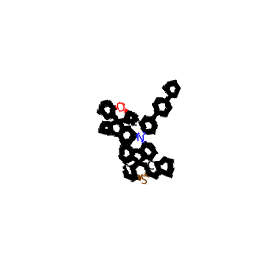 c1ccc(-c2ccc(-c3ccc(N(c4ccc5c(c4)C4(c6ccccc6Oc6ccccc64)c4ccccc4-5)c4cccc5c4-c4ccccc4C54c5ccccc5Sc5cc6ccccc6cc54)cc3)cc2)cc1